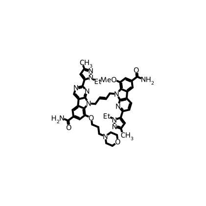 CCn1nc(C)cc1-c1ccc2c3cc(C(N)=O)cc(OC)c3n(C/C=C/Cn3c4nc(-c5cc(C)nn5CC)ncc4c4cc(C(N)=O)cc(OCCCN5CCOCC5)c43)c2n1